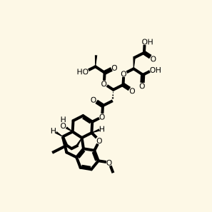 COc1ccc2c3c1O[C@H]1C(OC(=O)C[C@H](OC(=O)[C@H](C)O)C(=O)O[C@@H](CC(=O)O)C(=O)O)=CC[C@@]4(O)[C@@H](C2)C(C)CC[C@]314